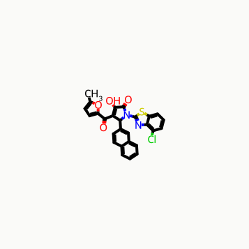 Cc1ccc(C(=O)C2=C(O)C(=O)N(c3nc4c(Cl)cccc4s3)C2c2ccc3ccccc3c2)o1